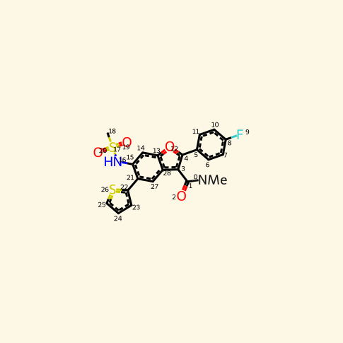 CNC(=O)c1c(-c2ccc(F)cc2)oc2cc(NS(C)(=O)=O)c(-c3cccs3)cc12